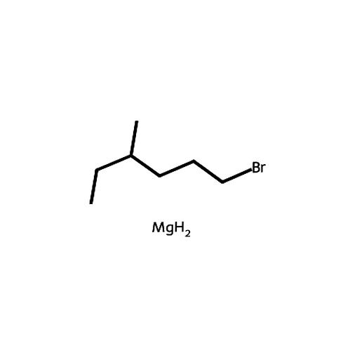 CCC(C)CCCBr.[MgH2]